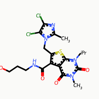 Cc1nc(Cl)c(Cl)n1Cc1sc2c(c1C(=O)NCCCO)c(=O)n(C)c(=O)n2C(C)C